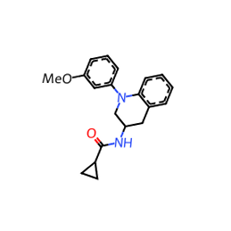 COc1cccc(N2CC(NC(=O)C3CC3)Cc3ccccc32)c1